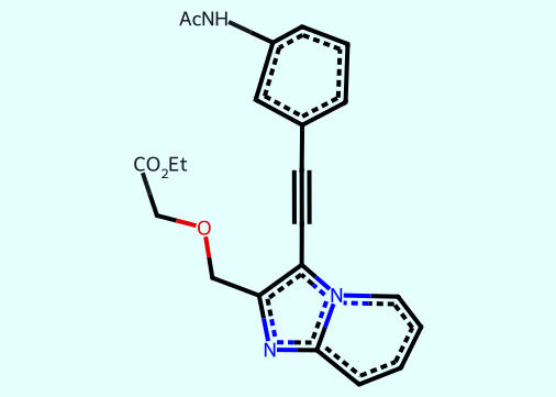 CCOC(=O)COCc1nc2ccccn2c1C#Cc1cccc(NC(C)=O)c1